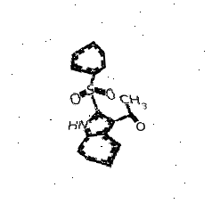 CC(=O)c1c(S(=O)(=O)c2ccccc2)[nH]c2ccccc12